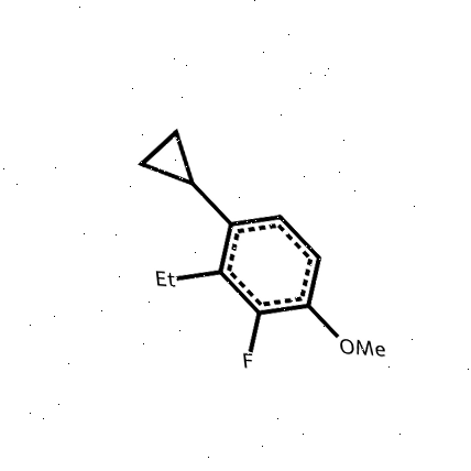 CCc1c(C2CC2)ccc(OC)c1F